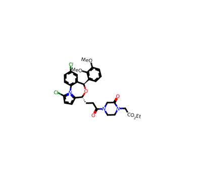 CCOC(=O)CN1CCN(C(=O)CC[C@H]2O[C@H](c3cccc(OC)c3OC)c3cc(Cl)ccc3-n3c(Cl)ccc32)CC1=O